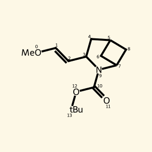 COC=CC1CC2CC(C2)N1C(=O)OC(C)(C)C